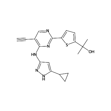 C#Cc1cnc(-c2ccc(C(C)(C)O)s2)nc1Nc1cc(C2CC2)[nH]n1